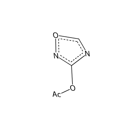 CC(=O)Oc1ncon1